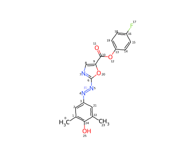 Cc1cc(/N=N/c2ncc(C(=O)Oc3ccc(F)cc3)o2)cc(C)c1O